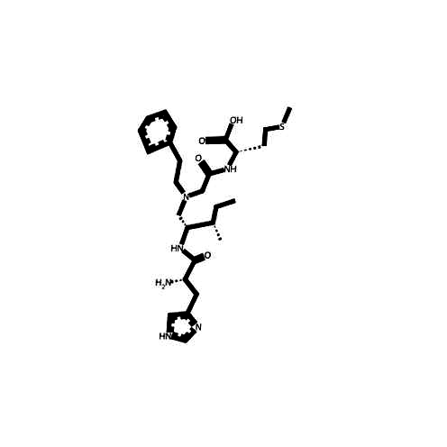 CC[C@H](C)[C@@H](CN(CCc1ccccc1)CC(=O)N[C@@H](CCSC)C(=O)O)NC(=O)[C@@H](N)Cc1c[nH]cn1